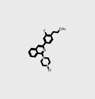 CCN1CCN(c2nc(-c3ccc(CCOC(C)=O)c(F)c3)cc3ccccc23)CC1